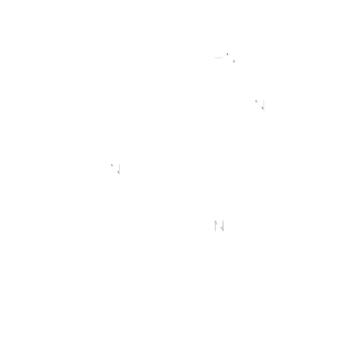 c1ccc(-n2c3ccc(-c4nc5ccccc5[nH]4)cc3c3c2ccc2c4ccccc4n(-c4ccccc4)c23)cc1